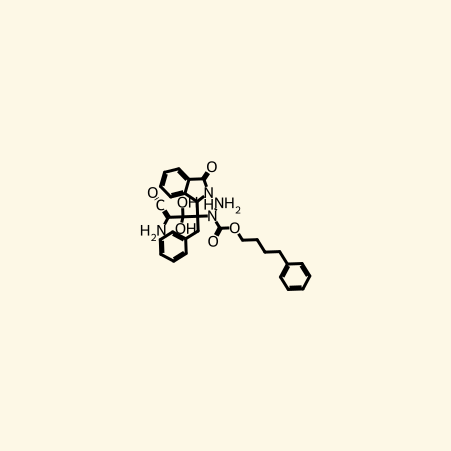 NC(=C=O)C(O)(O)C(Cc1ccccc1)(C1NC(=O)c2ccccc21)N(N)C(=O)OCCCCc1ccccc1